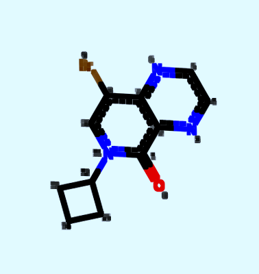 O=c1c2nccnc2c(Br)cn1C1CCC1